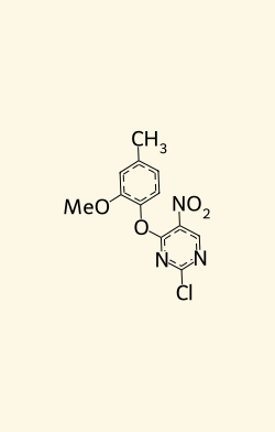 COc1cc(C)ccc1Oc1nc(Cl)ncc1[N+](=O)[O-]